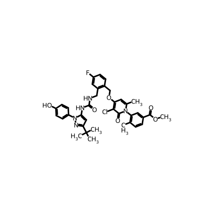 COC(=O)c1ccc(C)c(-n2c(C)cc(OCc3ccc(F)cc3CNC(=O)Nc3cc(C(C)(C)C)nn3-c3ccc(O)cc3)c(Cl)c2=O)c1